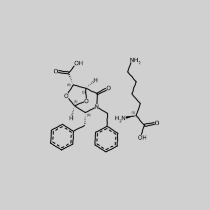 NCCCC[C@H](N)C(=O)O.O=C(O)[C@H]1O[C@H]2O[C@@H]1C(=O)N(Cc1ccccc1)[C@@H]2Cc1ccccc1